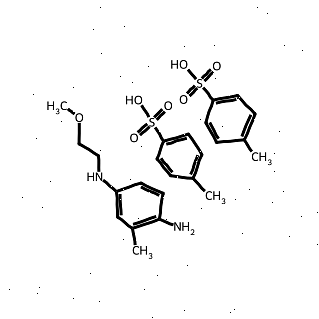 COCCNc1ccc(N)c(C)c1.Cc1ccc(S(=O)(=O)O)cc1.Cc1ccc(S(=O)(=O)O)cc1